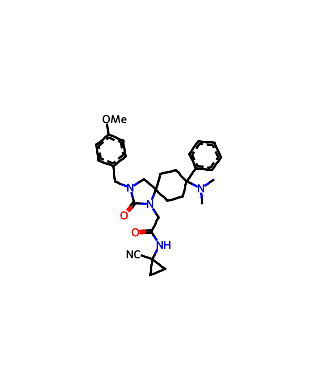 COc1ccc(CN2CC3(CCC(c4ccccc4)(N(C)C)CC3)N(CC(=O)NC3(C#N)CC3)C2=O)cc1